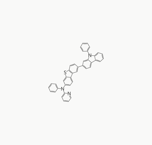 c1ccc(N(c2ccc3c(c2)sc2ccc(-c4ccc5c6ccccc6n(-c6ccccc6)c5c4)cc23)c2ccccn2)cc1